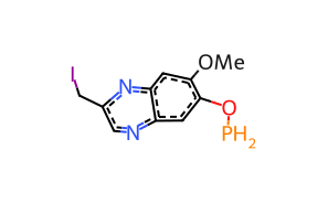 COc1cc2nc(CI)cnc2cc1OP